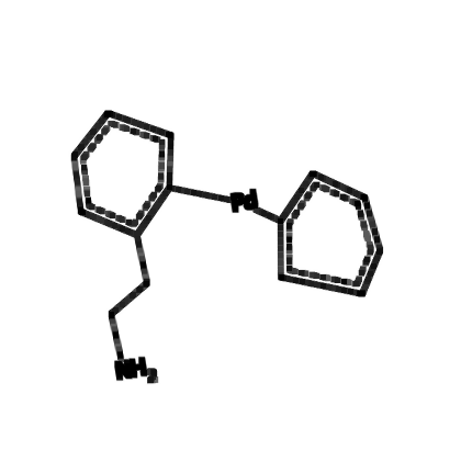 NCCc1cccc[c]1[Pd][c]1ccccc1